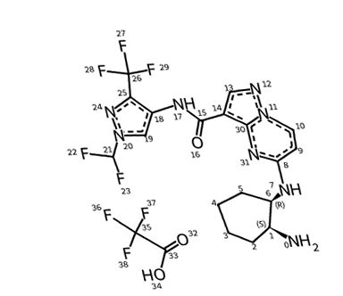 N[C@H]1CCCC[C@H]1Nc1ccn2ncc(C(=O)Nc3cn(C(F)F)nc3C(F)(F)F)c2n1.O=C(O)C(F)(F)F